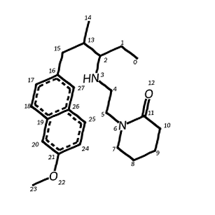 CCC(NCCN1CCCCC1=O)C(C)Cc1ccc2cc(OC)ccc2c1